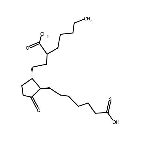 CCCCCC(CC[C@H]1CCC(=O)[C@@H]1CCCCCCC(O)=S)C(C)=O